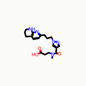 CN(CCC(=O)O)C(=O)c1cnn(CCCc2ccc3c(n2)NCCC3)c1